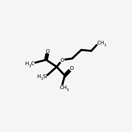 CCCCOC([SiH3])(C(C)=O)C(C)=O